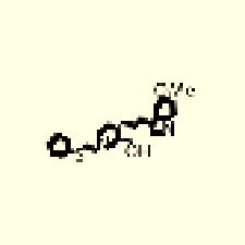 COc1ccc2nccc(CCC[C@@H]3CCN(CCSc4ccccc4)C[C@@H]3CO)c2c1